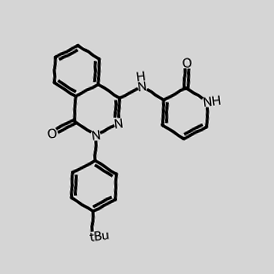 CC(C)(C)c1ccc(-n2nc(Nc3ccc[nH]c3=O)c3ccccc3c2=O)cc1